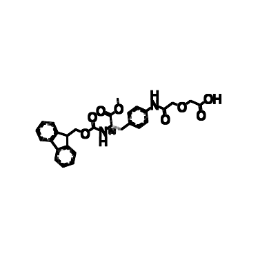 COC(=O)[C@H](Cc1ccc(NC(=O)COCC(=O)O)cc1)NC(=O)OCC1c2ccccc2-c2ccccc21